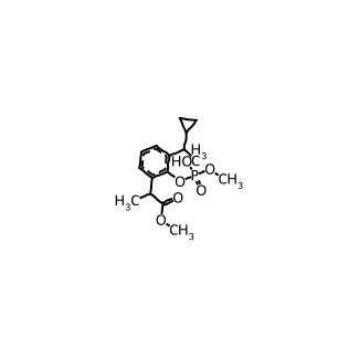 COC(=O)C(C)c1cccc(C(C)C2CC2)c1OP(=O)(O)OC